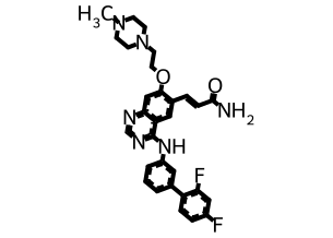 CN1CCN(CCOc2cc3ncnc(Nc4cccc(-c5ccc(F)cc5F)c4)c3cc2C=CC(N)=O)CC1